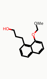 COCOc1cccc2cccc(CCCO)c12